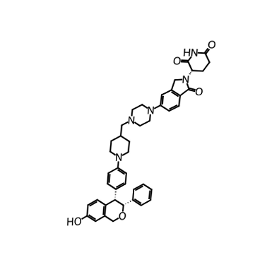 O=C1CC[C@H](N2Cc3cc(N4CCN(CC5CCN(c6ccc([C@H]7c8ccc(O)cc8CO[C@H]7c7ccccc7)cc6)CC5)CC4)ccc3C2=O)C(=O)N1